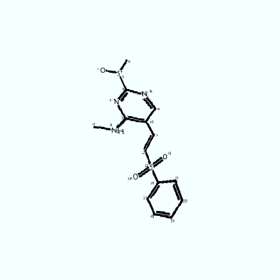 CNc1nc([S+](C)[O-])ncc1/C=C/S(=O)(=O)c1ccccc1